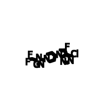 Fc1cn(C2CCN(c3noc(C(F)F)n3)CC2)c2ncnc(Cl)c12